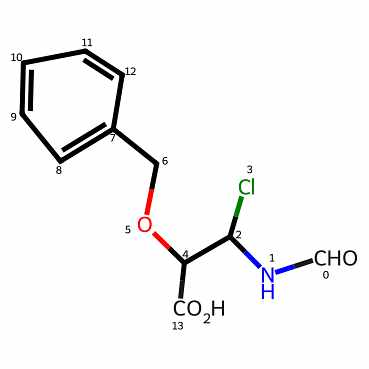 O=CNC(Cl)C(OCc1ccccc1)C(=O)O